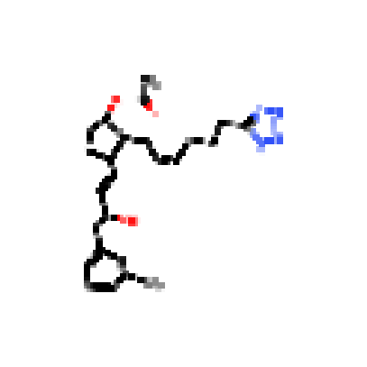 CC(=O)OC1CCC(C=CC(O)Cc2cccc(C)c2)C1C/C=C\CCCc1nnn[nH]1